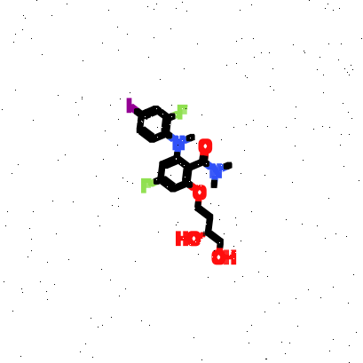 CN(C)C(=O)c1c(OCC[C@@H](O)CO)cc(F)cc1N(C)c1ccc(I)cc1F